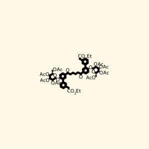 CCOC(=O)Cc1cccc(-c2cc(C(=O)CCCCC(=O)c3ccc(O[C@H]4O[C@H](COC(C)=O)[C@@H](OC(C)=O)[C@H](OC(C)=O)[C@@H]4OC(C)=O)c(-c4cccc(CC(=O)OCC)c4)c3)ccc2O[C@H]2O[C@H](COC(C)=O)[C@@H](OC(C)=O)[C@H](OC(C)=O)[C@@H]2OC(C)=O)c1